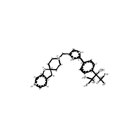 OC(c1ccc(-c2nc(CN3CCC4(CC3)Cc3ccncc3O4)cs2)cc1)(C(F)(F)F)C(F)(F)F